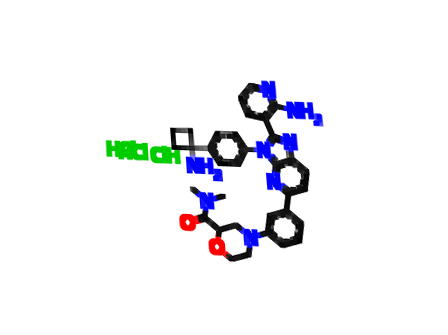 CN(C)C(=O)C1CN(c2cccc(-c3ccc4nc(-c5cccnc5N)n(-c5ccc(C6(N)CCC6)cc5)c4n3)c2)CCO1.Cl.Cl.Cl